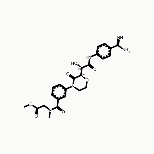 COC(=O)CN(C)C(=O)c1cccc(N2CCO[C@H]([C@@H](O)C(=O)Nc3ccc(C(=N)N)cc3)C2=O)c1